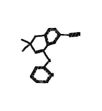 CC1(C)C=C(Sc2ccccn2)c2cc(C#N)ccc2C1